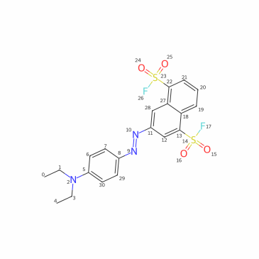 CCN(CC)c1ccc(/N=N/c2cc(S(=O)(=O)F)c3cccc(S(=O)(=O)F)c3c2)cc1